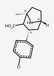 C[C@@]12CC[C@H](C[C@H](c3ccc(Cl)cc3)C1C(=O)O)N2